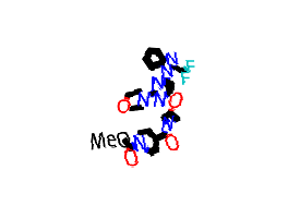 COC(=O)N1CCC(C(=O)N2CC(Oc3cc(-n4c(C(F)F)nc5ccccc54)nc(N4CCOCC4)n3)C2)CC1